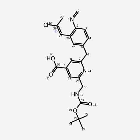 C=Nc1ccc(Cc2cc(C(=O)O)cc(CNC(=O)OC(C)(C)C)n2)cc1/C=C(\C)Cl